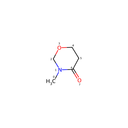 CN1COCCC1=O